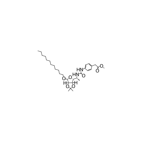 CCCCCCCCCCCCO[C@H]1O[C@H]([C@H](C)NC(=O)Nc2ccc(CC(=O)OC)cc2)[C@@H]2OC(C)(C)O[C@H]12